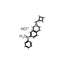 CN(c1ccccc1)c1ccc2c(c1)CN(CC1CCC1)CC2.Cl